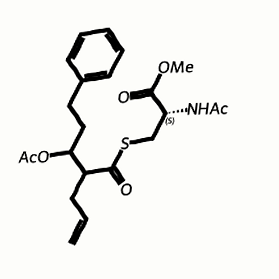 C=CCC(C(=O)SC[C@@H](NC(C)=O)C(=O)OC)C(CCc1ccccc1)OC(C)=O